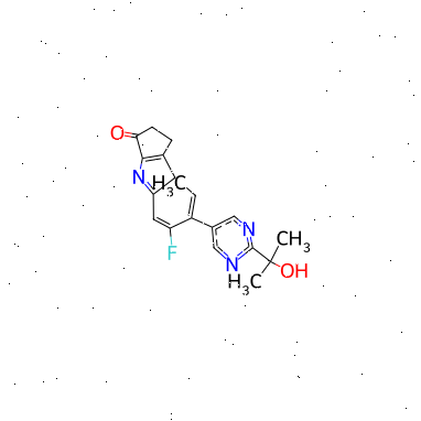 C/C=C(\C(F)=C/C1=NC2=C(CCC2=O)C1)c1cnc(C(C)(C)O)nc1